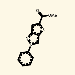 COC(=O)c1cc2nn(-c3ccccc3)cc2s1